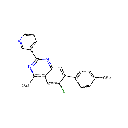 CNc1nc(-c2cccnc2)nc2cc(-c3ccc(OC)cc3)c(F)cc12